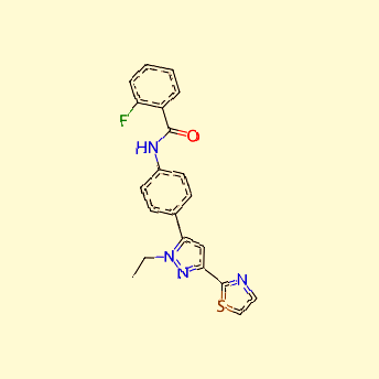 CCn1nc(-c2nccs2)cc1-c1ccc(NC(=O)c2ccccc2F)cc1